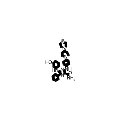 CN1CCN(C2CCN(c3ccc(Nc4nc(N[C@@H]5CCC[C@@H](O)C5)c(-c5ccccc5)nc4C(N)=O)cc3)CC2)CC1